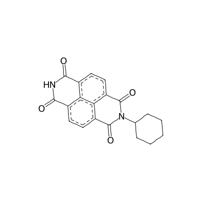 O=C1NC(=O)c2ccc3c4c(ccc1c24)C(=O)N(C1CCCCC1)C3=O